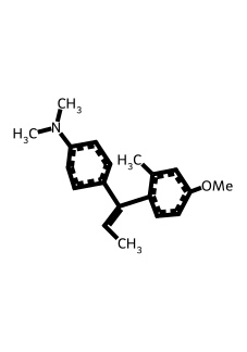 C/C=C(/c1ccc(N(C)C)cc1)c1ccc(OC)cc1C